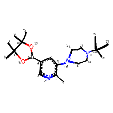 Cc1ncc(B2OC(C)(C)C(C)(C)O2)cc1N1CCN(C(C)(C)C)CC1